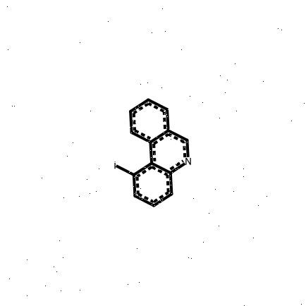 Ic1cccc2ncc3ccccc3c12